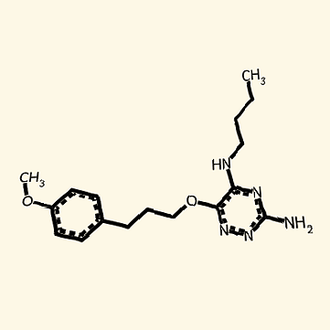 CCCCNc1nc(N)nnc1OCCCc1ccc(OC)cc1